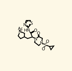 CC(=O)N1CCC(CC(C(=O)Nc2nccs2)N2CCN(S(=O)(=O)C3CC3)CC2=O)C1